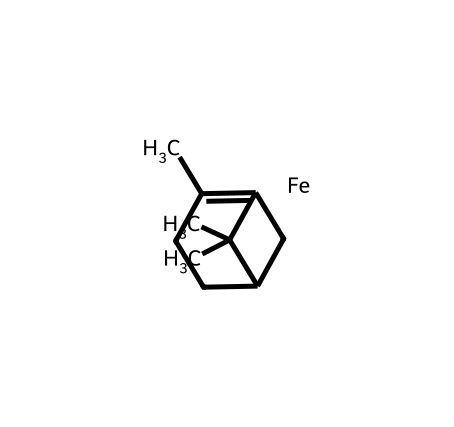 CC1=C2CC(CC1)C2(C)C.[Fe]